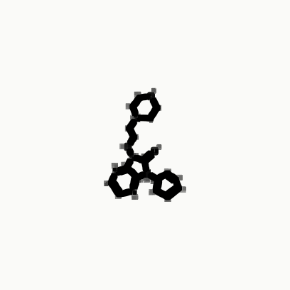 O=c1n(OCCN2CCOCC2)c2nccnc2n1-c1ccccc1